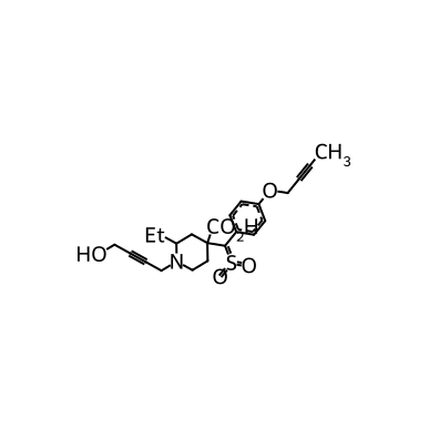 CC#CCOc1ccc(C(=S(=O)=O)C2(C(=O)O)CCN(CC#CCO)C(CC)C2)cc1